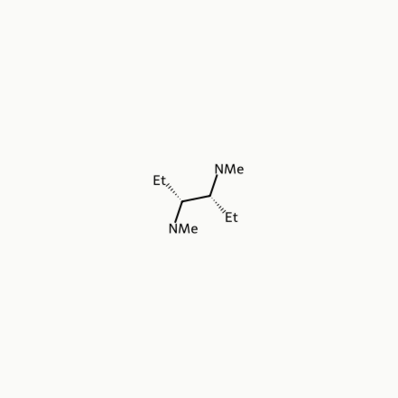 CC[C@@H](NC)[C@@H](CC)NC